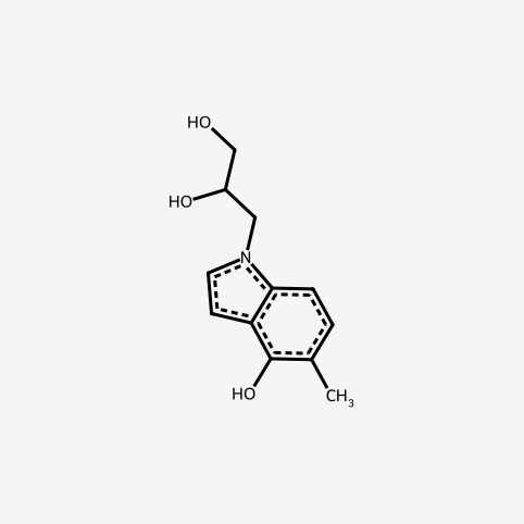 Cc1ccc2c(ccn2CC(O)CO)c1O